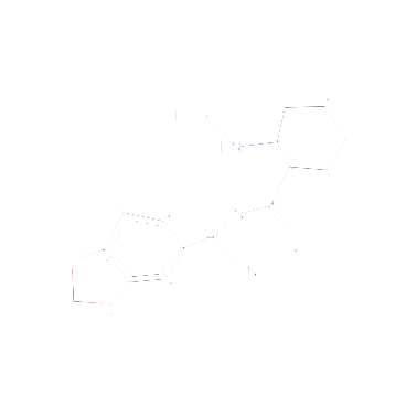 N#CC(NC(=O)C1CCCCC1NC(=O)O)c1ccc2c(c1)OCO2